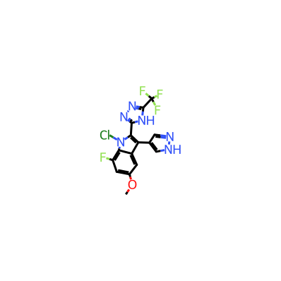 COc1cc(F)c2c(c1)c(-c1cn[nH]c1)c(-c1nnc(C(F)(F)F)[nH]1)n2Cl